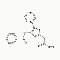 CNC(=O)Cc1cn(-c2ccccc2)c(NC(=O)c2cccnc2)n1